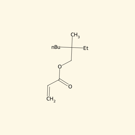 C=CC(=O)OCC(C)(CC)CCCC